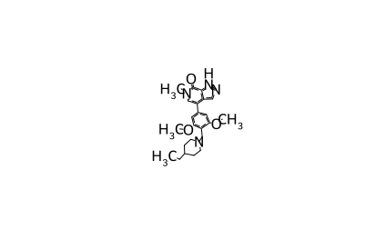 CCC1CCN(Cc2c(OC)cc(-c3cn(C)c(=O)c4[nH]ncc34)cc2OC)CC1